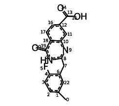 Cc1ccc(F)c(Cc2nc3cc(C(=O)O)ccc3c(=O)[nH]2)c1